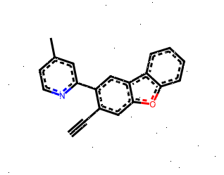 C#Cc1cc2oc3ccccc3c2cc1-c1cc(C)ccn1